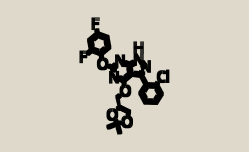 CC1(C)OC[C@H](COc2nc(Oc3ccc(F)cc3F)nc3[nH]nc(-c4ccccc4Cl)c23)O1